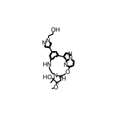 CO[C@@H]1C[C@H]2COc3ccn4ncc(c4n3)-c3cc(cc(-c4cnn(CCO)c4)c3)NCCN2C1(C)O